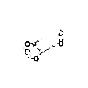 O=C(O)COc1c(C(=O)O)sc(-c2cccc(NC3CCN(S(=O)(=O)Cc4cccc(NC(=O)CCCCCNC(=O)CNc5cccc6c5CN(C5CCC(=O)NC5=O)C6=O)c4)CC3)c2)c1Cl